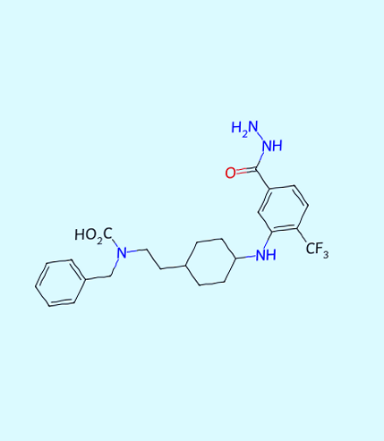 NNC(=O)c1ccc(C(F)(F)F)c(NC2CCC(CCN(Cc3ccccc3)C(=O)O)CC2)c1